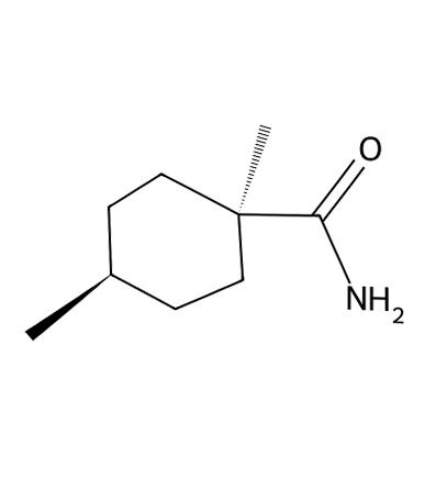 C[C@H]1CC[C@@](C)(C(N)=O)CC1